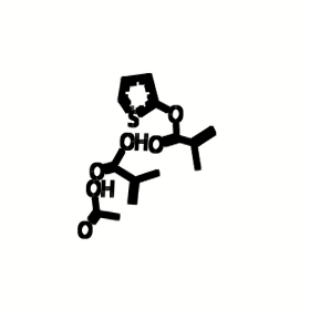 C=C(C)C(=O)O.C=C(C)C(=O)Oc1cccs1.CC(=O)O